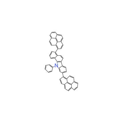 c1ccc(-n2c3cc(-c4ccc5ccc6cccc7ccc4c5c67)ccc3c3ccc4c(-c5ccc6ccc7cccc8ccc5c6c78)cccc4c32)cc1